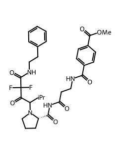 COC(=O)c1ccc(C(=O)NCCC(=O)NC(=O)[C@@H]2CCCN2C(C(=O)C(F)(F)C(=O)NCCc2ccccc2)C(C)C)cc1